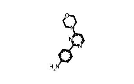 Nc1ccc(-c2nccc(N3CCOCC3)n2)cc1